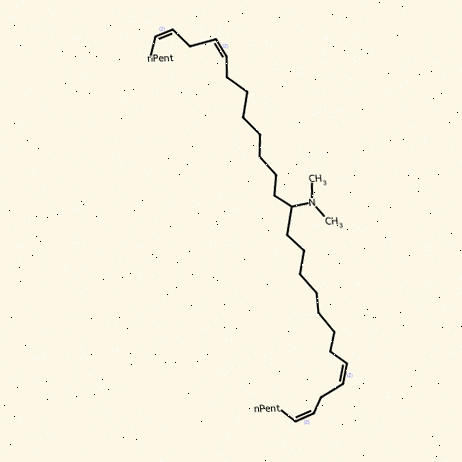 CCCCC/C=C\C/C=C\CCCCCCCC(CCCCCCC/C=C\C/C=C\CCCCC)N(C)C